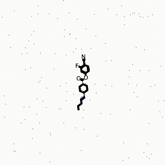 CCC/C=C/[C@H]1CC[C@H](C(=O)Oc2ccc(C#N)c(F)c2)CC1